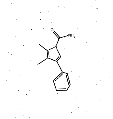 Cc1c(-c2ccccc2)cn(C(N)=O)c1C